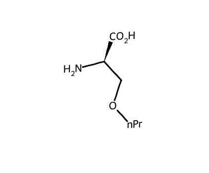 CCCOC[C@@H](N)C(=O)O